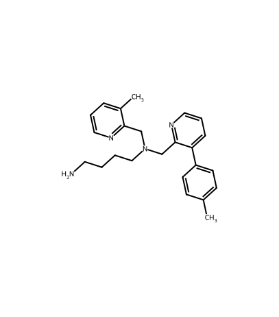 Cc1ccc(-c2cccnc2CN(CCCCN)Cc2ncccc2C)cc1